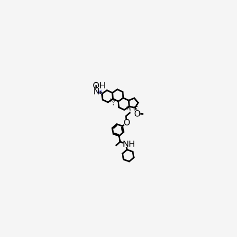 CO[C@H]1CCC2C3CCC4C/C(=N\O)CC[C@]4(C)C3CC[C@@]21CCOc1cccc(C(C)NC2CCCCC2)c1